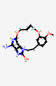 COc1ccc2cc1OC/C=C/COc1cc3c(nc(O)n3CC2)c(N)n1